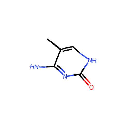 Cc1c[nH]c(=O)nc1[NH]